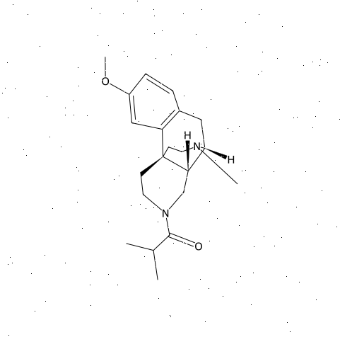 COc1ccc2c(c1)[C@@]13CCN(C(=O)C(C)C)C[C@H]1[C@@H](C2)N(C)CC3